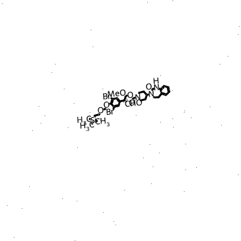 COC(OC(=O)N1CCC(N2CCc3ccccc3NC2=O)CC1)[C@H](C=O)c1cc(Br)c(OCOCC[Si](C)(C)C)c(Br)c1